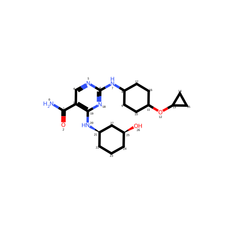 NC(=O)c1cnc(NC2CCC(OC3CC3)CC2)nc1N[C@@H]1CCC[C@H](O)C1